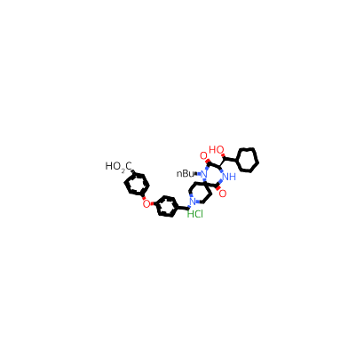 CCCCN1C(=O)[C@@H](C(O)C2CCCCC2)NC(=O)C12CCN(Cc1ccc(Oc3ccc(C(=O)O)cc3)cc1)CC2.Cl